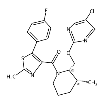 Cc1nc(C(=O)N2CCC[C@@H](C)[C@H]2COc2ncc(Cl)cn2)c(-c2ccc(F)cc2)s1